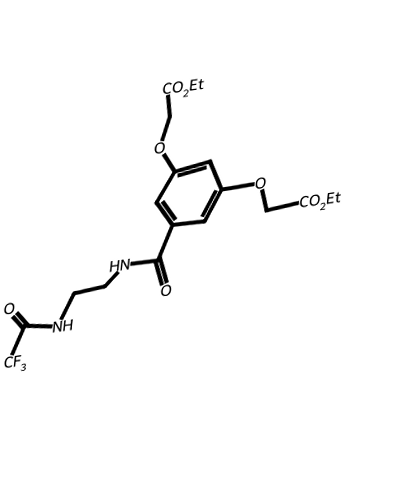 CCOC(=O)COc1cc(OCC(=O)OCC)cc(C(=O)NCCNC(=O)C(F)(F)F)c1